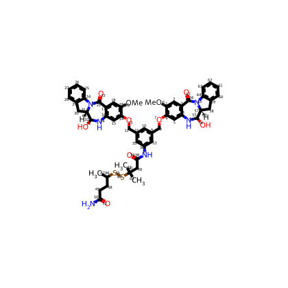 COc1cc2c(cc1OCc1cc(COc3cc4c(cc3OC)C(=O)N3c5ccccc5C[C@H]3C(O)N4)cc(NC(=O)CC(C)(C)SSC(C)CCC(N)=O)c1)NC(O)[C@@H]1Cc3ccccc3N1C2=O